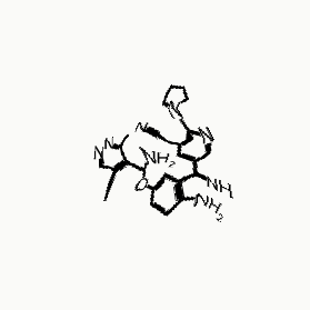 Cc1cnnc(C)c1[C@@H](N)Oc1ccc(N)c(C(=N)c2cnc(N3CCCC3)c(C#N)c2)c1